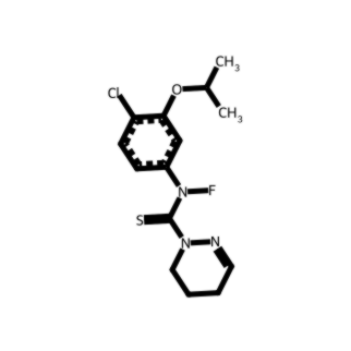 CC(C)Oc1cc(N(F)C(=S)N2CCCC=N2)ccc1Cl